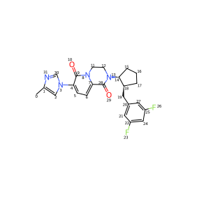 Cc1cn(-c2ccc3n(c2=O)CCN([C@H]2CCC[C@H]2Cc2cc(F)cc(F)c2)C3=O)cn1